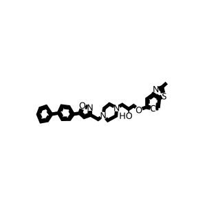 Cc1nc2cc(OC[C@H](O)CN3CCN(Cc4cc(-c5ccc(-c6ccccc6)cc5)on4)CC3)ccc2s1